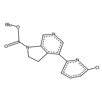 CC(C)(C)OC(=O)N1CCc2c(-c3cccc(Cl)n3)cncc21